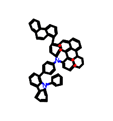 c1ccc(-n2c3ccccc3c3cccc(-c4ccc(N(c5ccc(-c6cccc7c6ccc6ccccc67)cc5)c5ccccc5-c5cccc6cccc(C7CCCCC7)c56)cc4)c32)cc1